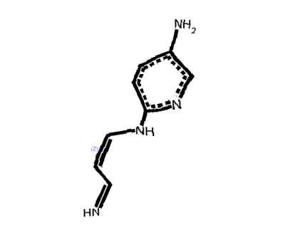 N=C/C=C\Nc1ccc(N)cn1